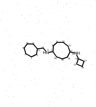 C1CCCC(CNC2CCCCC(NC3CCC3)CCC2)CC1